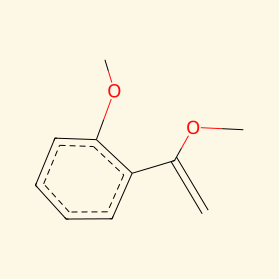 C=C(OC)c1ccccc1OC